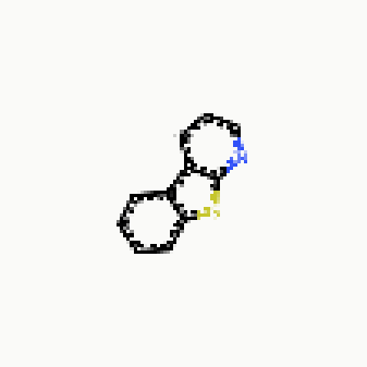 [c]1ccnc2sc3ccccc3c12